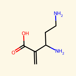 C=C(C(=O)O)C(N)CCN